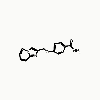 NC(=O)c1ccc(OCc2cn3ccccc3n2)cc1